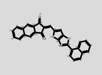 O=C1C(=Cc2cc3oc(-c4cccc5ccccc45)nc3s2)C(=O)c2cc3ccccc3cc21